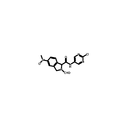 C[S+]([O-])c1ccc2c(c1)CN(C=O)C2C(=O)Nc1cnc(Cl)nc1